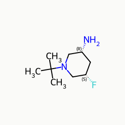 CC(C)(C)N1C[C@H](N)C[C@H](F)C1